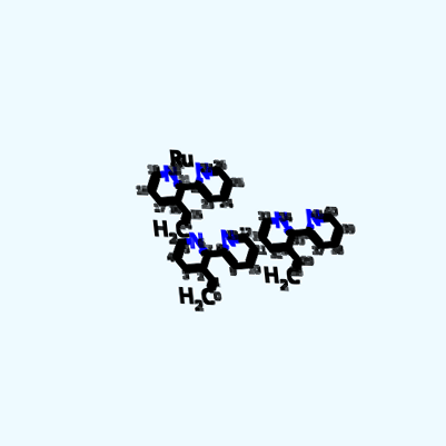 C=Cc1cccnc1-c1ccccn1.C=Cc1cccnc1-c1ccccn1.C=Cc1cccnc1-c1ccccn1.[Ru]